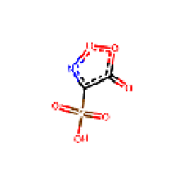 O=c1oonc1S(=O)(=O)O